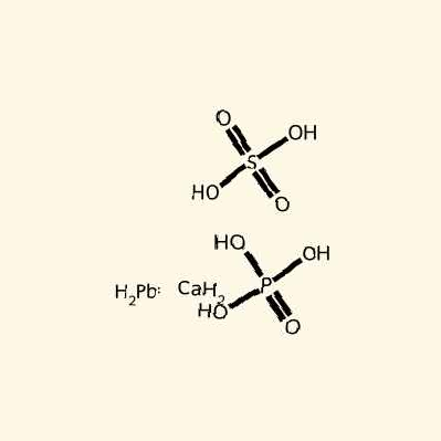 O=P(O)(O)O.O=S(=O)(O)O.[CaH2].[PbH2]